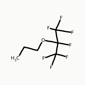 CCCOC(F)(C(F)(F)F)C(F)(F)F